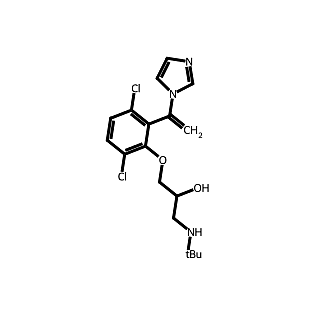 C=C(c1c(Cl)ccc(Cl)c1OCC(O)CNC(C)(C)C)n1ccnc1